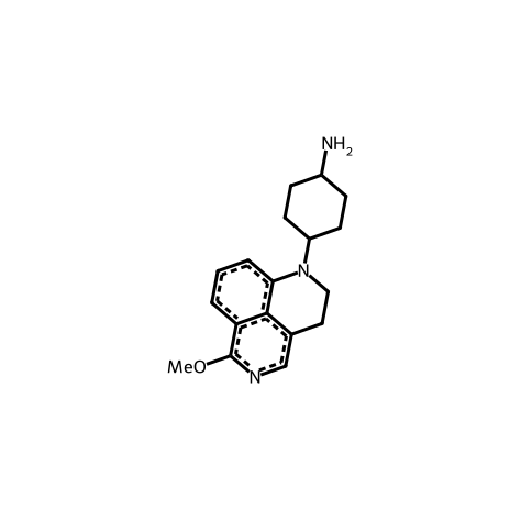 COc1ncc2c3c(cccc13)N(C1CCC(N)CC1)CC2